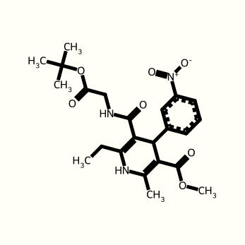 CCC1=C(C(=O)NCC(=O)OC(C)(C)C)C(c2cccc([N+](=O)[O-])c2)C(C(=O)OC)=C(C)N1